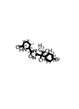 CC(C)C(C)(c1ccc(Br)cc1)c1noc(C2CCCC(=O)N2)n1